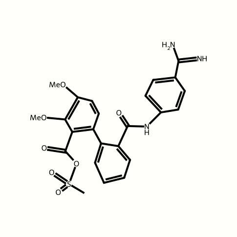 COc1ccc(-c2ccccc2C(=O)Nc2ccc(C(=N)N)cc2)c(C(=O)OS(C)(=O)=O)c1OC